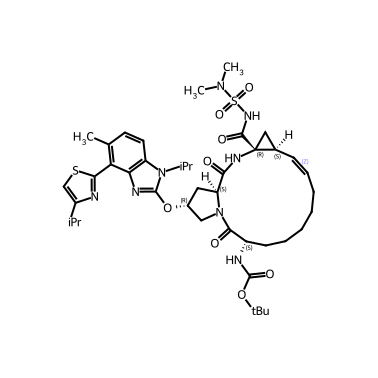 Cc1ccc2c(nc(O[C@@H]3C[C@H]4C(=O)N[C@]5(C(=O)NS(=O)(=O)N(C)C)C[C@H]5/C=C\CCCCC[C@H](NC(=O)OC(C)(C)C)C(=O)N4C3)n2C(C)C)c1-c1nc(C(C)C)cs1